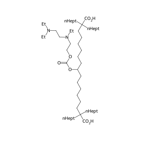 CCCCCCCC(CCCCCCC)(CCCCCCC(CCCCCCC(CCCCCCC)(CCCCCCC)C(=O)O)OC(=O)OCCN(CC)CCN(CC)CC)C(=O)O